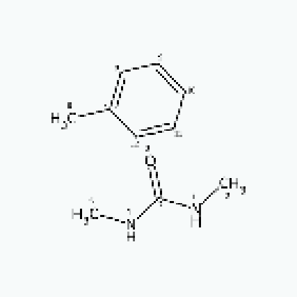 CNC(=O)NC.Cc1ccccc1